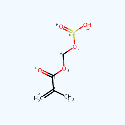 C=C(C)C(=O)OCOS(=O)O